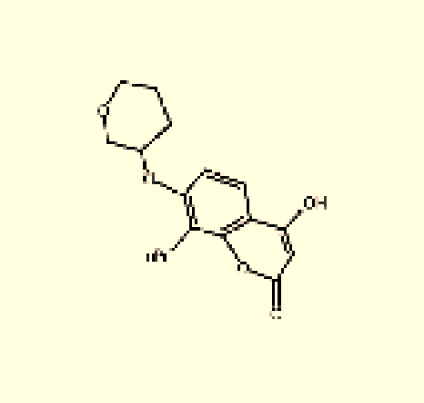 CCCc1c(OC2CCCOC2)ccc2c(O)cc(=O)oc12